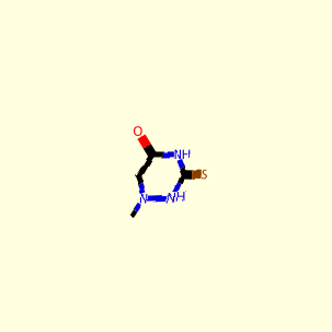 CN1[CH]C(=O)NC(=S)N1